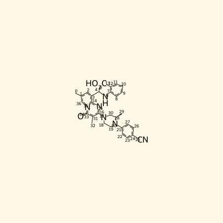 Cc1cc(C(C)Nc2ccccc2C(=O)O)c2nc(N3CCN(c4ccc(C#N)cc4)[C@H](C)C3)c(C)c(=O)n2c1